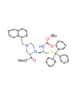 COC(=O)C1CN(Cc2cccc3ccccc23)CCN1C[C@H](CSC(c1ccccc1)(c1ccccc1)c1ccccc1)NC(=O)OC(C)(C)C